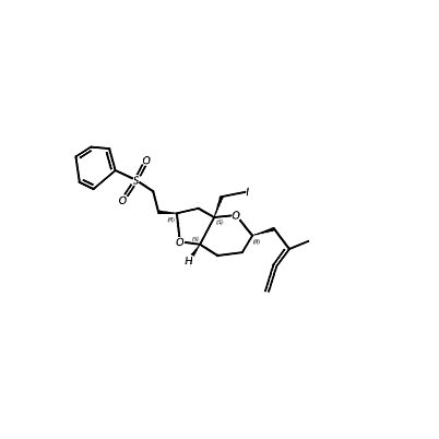 C=C=C(C)C[C@H]1CC[C@@H]2O[C@@H](CCS(=O)(=O)c3ccccc3)C[C@]2(CI)O1